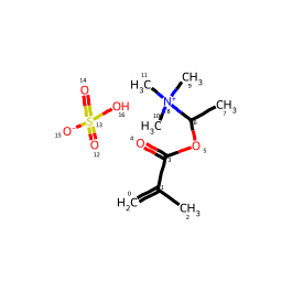 C=C(C)C(=O)OC(C)[N+](C)(C)C.O=S(=O)([O-])O